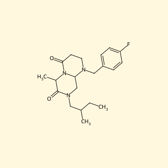 CCC(C)CN1CC2N(Cc3ccc(F)cc3)CCC(=O)N2C(C)C1=O